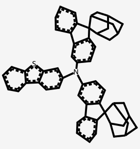 c1ccc2c(c1)-c1cc(N(c3ccc4c(c3)-c3ccccc3C43C4CC5CC(C4)CC3C5)c3ccc4c(c3)sc3ccccc34)ccc1C21C2CC3CC(C2)CC1C3